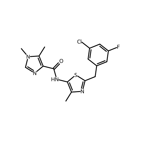 Cc1nc(Cc2cc(F)cc(Cl)c2)sc1NC(=O)c1ncn(C)c1C